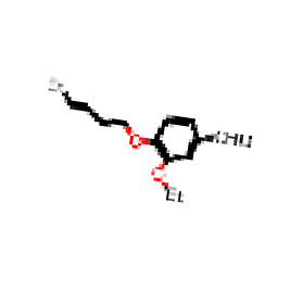 CCC=CCCOc1ccc(C=O)cc1OCC